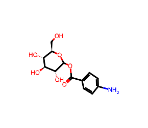 Nc1ccc(C(=O)OC2O[C@H](CO)[C@@H](O)[C@H](O)[C@H]2O)cc1